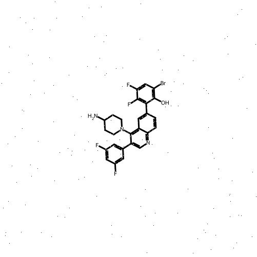 NC1CCN(c2c(-c3cc(F)cc(F)c3)cnc3ccc(-c4c(O)c(Br)cc(F)c4F)cc23)CC1